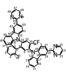 Fc1cccc(F)c1-c1cc(-n2c3ccccc3c3cc(-c4ncccn4)ccc32)c(C(F)(F)F)cc1-n1c2ccccc2c2cc(-c3ncccn3)ccc21